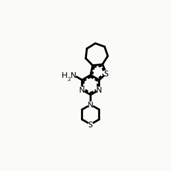 Nc1nc(N2CCSCC2)nc2sc3c(c12)CCCCC3